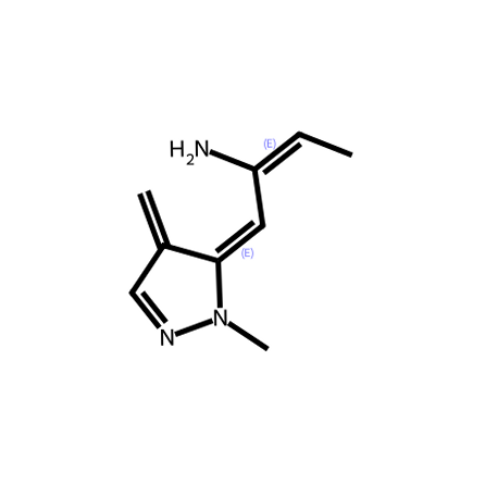 C=c1cnn(C)/c1=C/C(N)=C\C